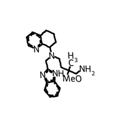 COC(C)(CN)CCN(Cc1nc2ccccc2[nH]1)C1CCCc2cccnc21